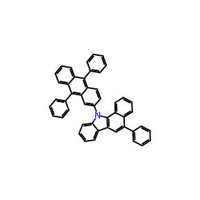 c1ccc(-c2c3ccccc3c(-c3ccccc3)c3cc(-n4c5ccccc5c5cc(-c6ccccc6)c6ccccc6c54)ccc23)cc1